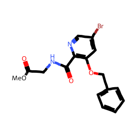 COC(=O)CNC(=O)c1ncc(Br)cc1OCc1ccccc1